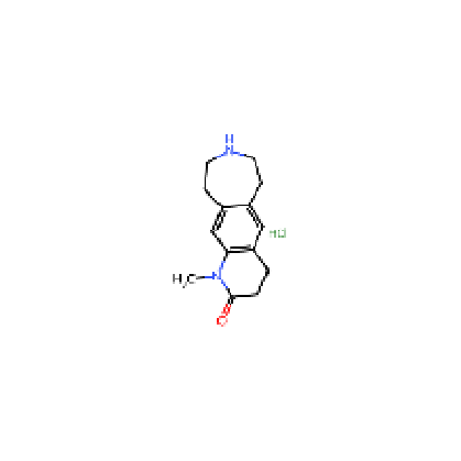 CN1C(=O)CCc2cc3c(cc21)CCNCC3.Cl